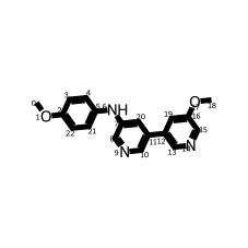 COc1ccc(Nc2cncc(-c3cncc(OC)c3)c2)cc1